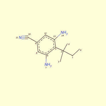 CCC(C)(C)c1c(N)cc(C#N)cc1N